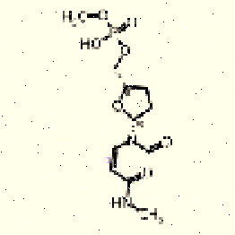 CNC(=O)/C=C\N(C=O)[C@H]1CC[C@@H](COP(=O)(O)OC)O1